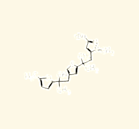 Cc1ccc(C(C)(C)Cc2csc(C(C)(C)Cc3cc(C(C)(C)C)nn3C)c2)o1